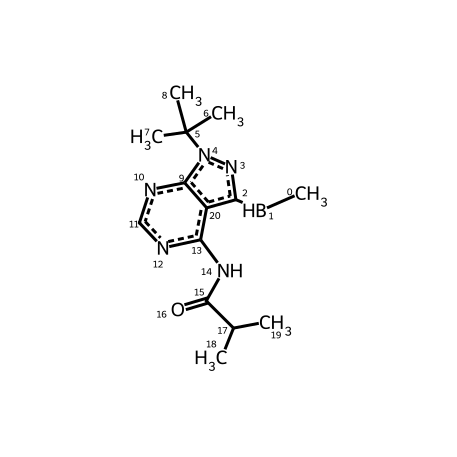 CBc1nn(C(C)(C)C)c2ncnc(NC(=O)C(C)C)c12